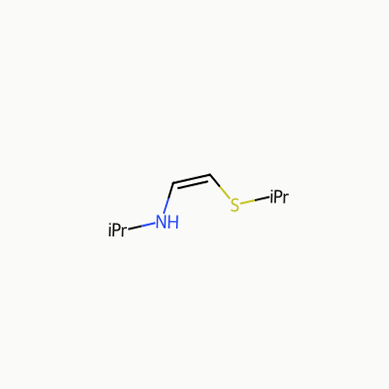 CC(C)N/C=C\SC(C)C